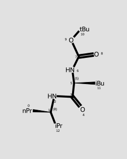 CCC[C@@H](NC(=O)[C@@H](NC(=O)OC(C)(C)C)C(C)CC)C(C)C